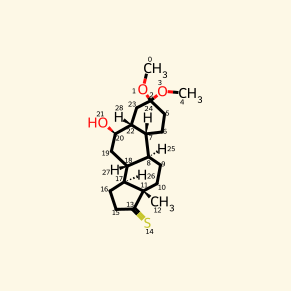 COC1(OC)CC[C@@H]2[C@H]3CC[C@]4(C)C(=S)CC[C@H]4[C@@H]3C[C@@H](O)[C@@H]2C1